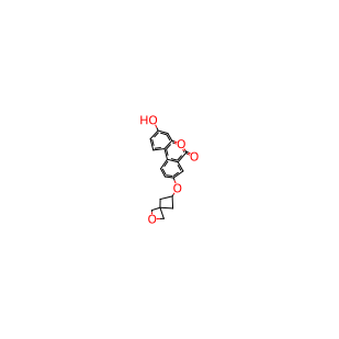 O=c1oc2cc(O)ccc2c2ccc(OC3CC4(COC4)C3)cc12